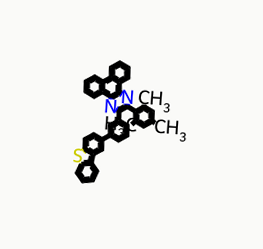 Cc1cc(C)c(-c2nc3c4ccccc4c4ccccc4c3nc2-c2cccc(-c3ccc4sc5ccccc5c4c3)c2)c(C)c1